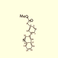 COC(=O)Cc1cccc(-c2cnc3ccccc3c2)c1